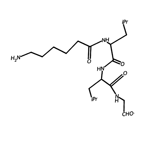 CC(C)CC(NC(=O)CCCCCN)C(=O)NC(CC(C)C)C(=O)NC[C]=O